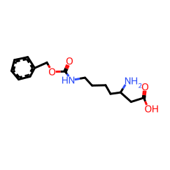 NC(CCCCNC(=O)OCc1ccccc1)CC(=O)O